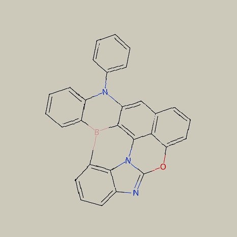 c1ccc(N2c3ccccc3B3c4cccc5nc6oc7cccc8cc2c3c(c87)n6c45)cc1